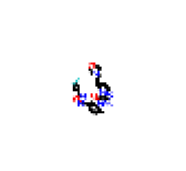 Cc1ccc(-c2noc(C3CC(F)(F)C3)n2)cc1NC(=O)c1cnc2ccc(CCN3CCOCC3)cn12